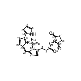 O=C(CCc1ccc2n1[B-](F)(F)[N+]1=C(c3ccc[nH]3)C=CC1=C2)ON1C(=O)CCC1=O